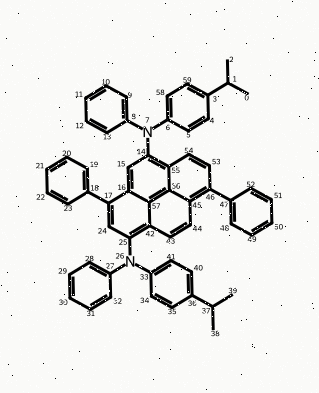 CC(C)c1ccc(N(c2ccccc2)c2cc3c(-c4ccccc4)cc(N(c4ccccc4)c4ccc(C(C)C)cc4)c4ccc5c(-c6ccccc6)ccc2c5c34)cc1